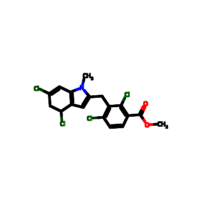 COC(=O)c1ccc(Cl)c(Cc2cc3c(n2C)C=C(Cl)CC3Cl)c1Cl